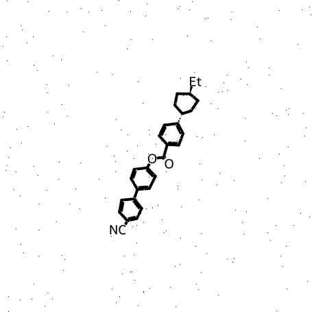 CC[C@H]1CC[C@H](c2ccc(C(=O)Oc3ccc(-c4ccc(C#N)cc4)cc3)cc2)CC1